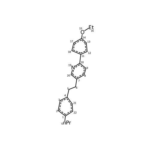 CCCc1ccc(CCc2ccc(-c3ccc(OCC)cc3)nc2)cc1